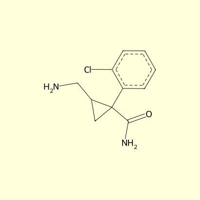 NCC1CC1(C(N)=O)c1ccccc1Cl